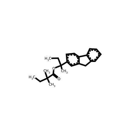 CCC(C)(C)C(=O)OC(C)(CC)c1ccc2c(c1)Cc1ccccc1-2